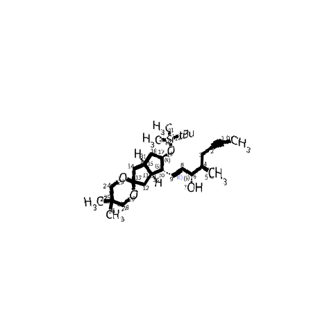 CC#CCC(C)[C@H](O)/C=C/[C@@H]1[C@H]2CC3(C[C@H]2C[C@H]1O[Si](C)(C)C(C)(C)C)OCC(C)(C)CO3